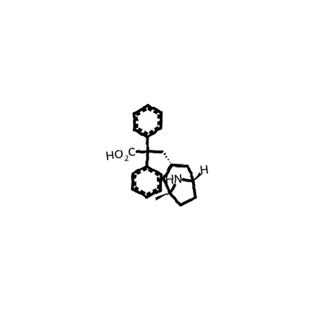 C[C@@]12CC[C@@H](C[C@@H](CC(C(=O)O)(c3ccccc3)c3ccccc3)C1)N2